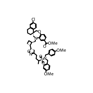 COC(=O)c1ccc2c(c1)N(C[C@@H]1CC[C@H]1[C@@H]1CC(CCC(C)S(=O)(=O)N(Cc3ccc(OC)cc3)Cc3ccc(OC)cc3)=NO1)C[C@@]1(CCCc3cc(Cl)ccc31)CO2